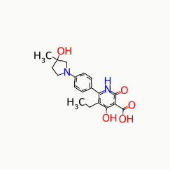 CCc1c(-c2ccc(N3CCC(C)(O)C3)cc2)[nH]c(=O)c(C(=O)O)c1O